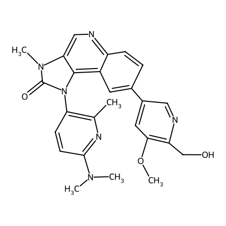 COc1cc(-c2ccc3ncc4c(c3c2)n(-c2ccc(N(C)C)nc2C)c(=O)n4C)cnc1CO